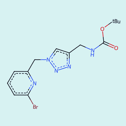 CC(C)(C)OC(=O)NCc1cn(Cc2cccc(Br)n2)nn1